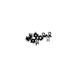 COc1ccc(-n2nnnc2C(F)(F)F)cc1CN[C@@H]1CCN(C(=O)CCNC(C)=O)C[C@@H]1c1ccccc1